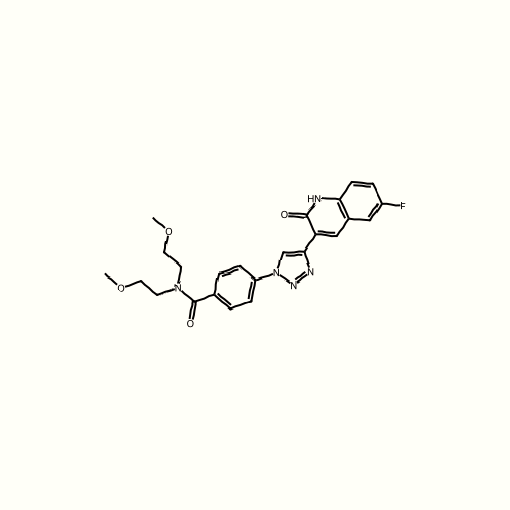 COCCN(CCOC)C(=O)c1ccc(-n2cc(-c3cc4cc(F)ccc4[nH]c3=O)nn2)cc1